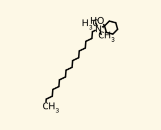 CCCCCCCCCCCCCCCC[N+](C)(C)C1(O)CCCCC1